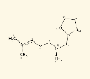 CC(C)=CCC[C@H](C)CC1OCCO1